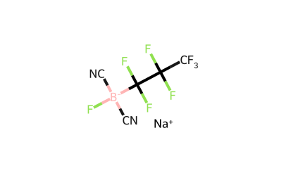 N#C[B-](F)(C#N)C(F)(F)C(F)(F)C(F)(F)F.[Na+]